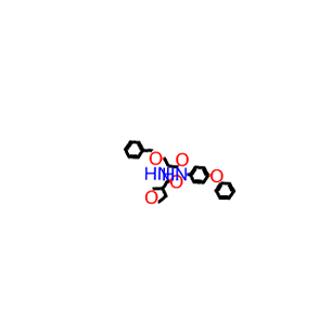 O=C(NC(COCc1ccccc1)C(=O)Nc1ccc(Oc2ccccc2)cc1)C1CCOC1